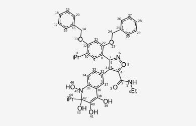 CCNC(=O)c1onc(-c2cc(C(C)C)c(OCc3ccccc3)cc2OCc2ccccc2)c1-c1ccc2c(c1)C(O)=C(O)C(O)(C(C)C)N2O